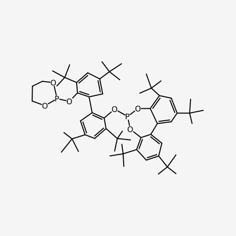 CC(C)(C)c1cc(-c2cc(C(C)(C)C)cc(C(C)(C)C)c2Op2oc3c(C(C)(C)C)cc(C(C)(C)C)cc3c3cc(C(C)(C)C)cc(C(C)(C)C)c3o2)c(OP2OCCCO2)c(C(C)(C)C)c1